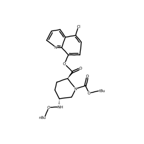 CCCCON[C@@H]1CC[C@@H](C(=O)Oc2ccc(Cl)c3cccnc23)N(C(=O)OC(C)(C)C)C1